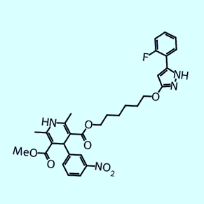 COC(=O)C1=C(C)NC(C)=C(C(=O)OCCCCCCOc2cc(-c3ccccc3F)[nH]n2)C1c1cccc([N+](=O)[O-])c1